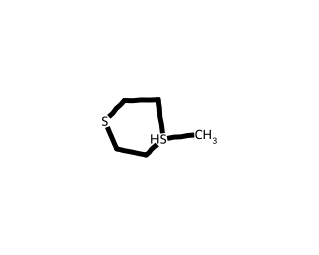 C[SH]1CCSCC1